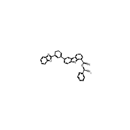 N=C(/N=C(\N)c1ccccc1)c1cccc2c1sc1ccc(C3=CCCC(c4nc5ccccc5o4)=C3)cc12